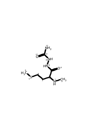 CNC(CCSC)C(=O)NNC(N)=O